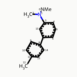 CNN(C)c1cccc(-c2ccc(C)cc2)c1